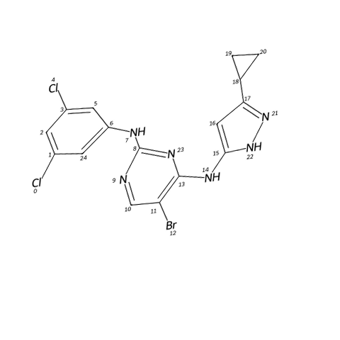 Clc1cc(Cl)cc(Nc2ncc(Br)c(Nc3cc(C4CC4)n[nH]3)n2)c1